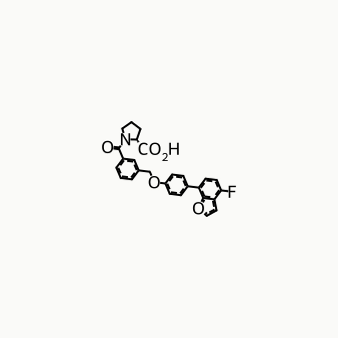 O=C(O)[C@@H]1CCCN1C(=O)c1cccc(COc2ccc(-c3ccc(F)c4ccoc34)cc2)c1